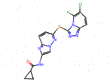 O=C(Nc1cn2nc(Sc3nnc4ccc(Cl)c(F)n34)ccc2n1)C1CC1